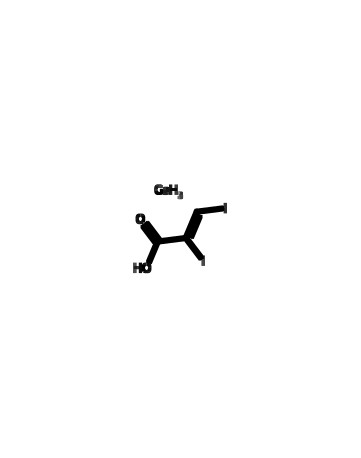 O=C(O)C(I)=CI.[GaH3]